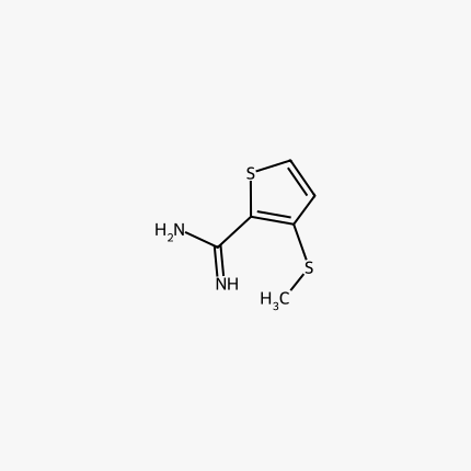 CSc1ccsc1C(=N)N